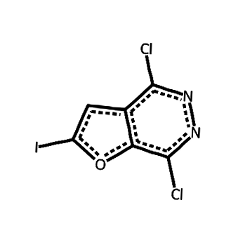 Clc1nnc(Cl)c2oc(I)cc12